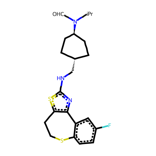 CC(C)N(C=O)[C@H]1CC[C@H](CNc2nc3c(s2)CCSc2ccc(F)cc2-3)CC1